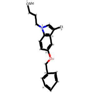 CCc1cn(CCCOC)c2ccc(OCc3ccccc3)cc12